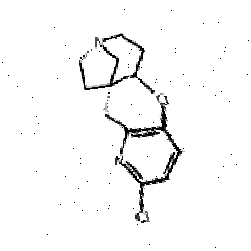 Clc1ccc2c(n1)C[C@@]13CC[N@](CCC1O2)C3